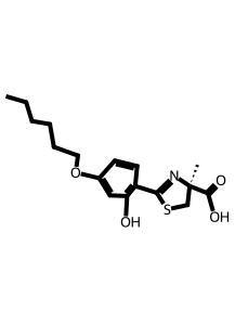 CCCCCCOc1ccc(C2=N[C@@](C)(C(=O)O)CS2)c(O)c1